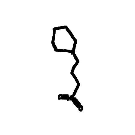 O=[SH](=O)CCCN1CC[CH]CC1